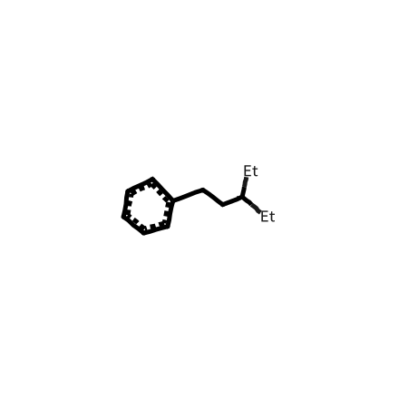 CC[C](CC)CCc1ccccc1